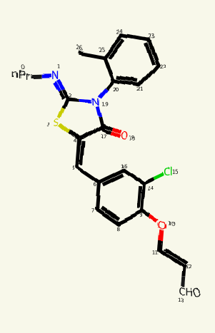 CCC/N=C1\S/C(=C/c2ccc(O/C=C/C=O)c(Cl)c2)C(=O)N1c1ccccc1C